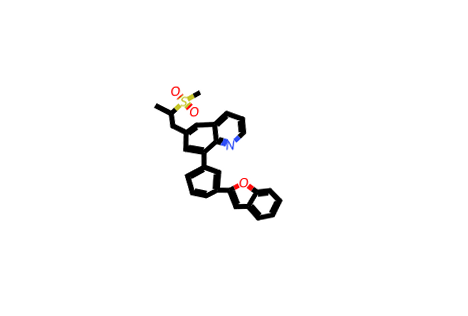 CC(Cc1cc(-c2cccc(-c3cc4ccccc4o3)c2)c2ncccc2c1)S(C)(=O)=O